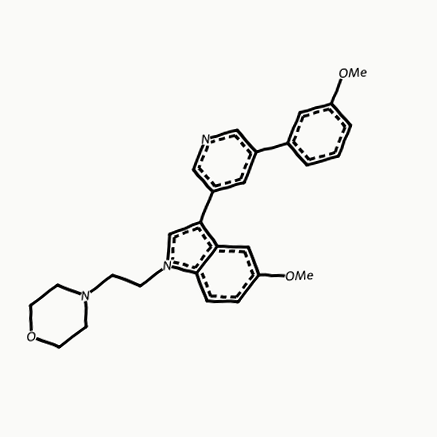 COc1cccc(-c2cncc(-c3cn(CCN4CCOCC4)c4ccc(OC)cc34)c2)c1